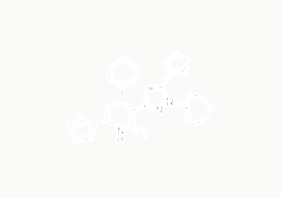 O=c1[nH]c(-c2cccs2)cc(-c2ccccc2)c1-c1cc(-c2ccco2)n(C2=CCCC=C2)n1